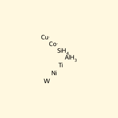 [AlH3].[Co].[Cu].[Ni].[SiH4].[Ti].[W]